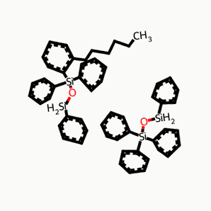 CCCCCCc1ccccc1[Si](O[SiH2]c1ccccc1)(c1ccccc1)c1ccccc1.c1ccc([SiH2]O[Si](c2ccccc2)(c2ccccc2)c2ccccc2)cc1